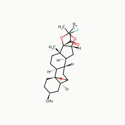 CC(=O)O[C@H]1CC[C@]23COC(C[C@@H]4[C@@H]2CC[C@@]2(C)[C@H]4C[C@H]4OC(C)(C)O[C@]42C(=O)CF)[C@@]3(Br)C1